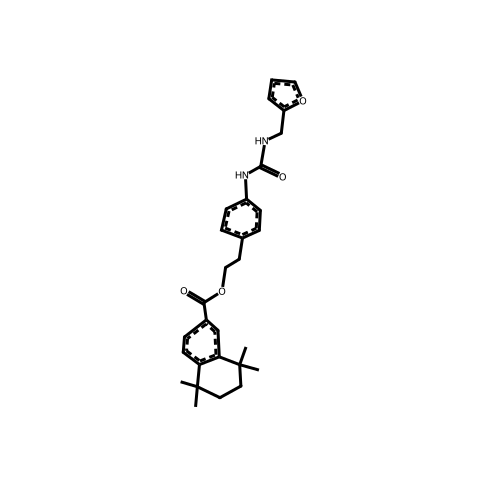 CC1(C)CCC(C)(C)c2cc(C(=O)OCCc3ccc(NC(=O)NCc4ccco4)cc3)ccc21